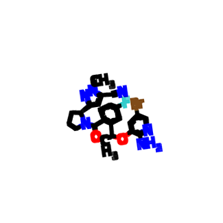 CC(Oc1cc(Br)cnc1N)c1cc(F)ccc1C(=O)N1CCC[C@H]1c1cc(C#N)n(C)n1